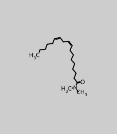 CCCCC/C=C\C/C=C\CCCCCCCC(=O)N(C)C